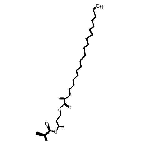 C=C(C)C(=O)OC(C)CCOC(=O)C(=C)CCCCCCCCCCCCCCCCCCO